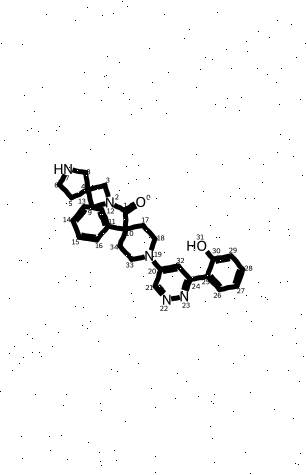 O=C(N1CC2(CCNC2)C1)C1(c2ccccc2)CCN(c2cnnc(-c3ccccc3O)c2)CC1